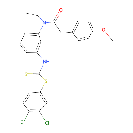 CCN(C(=O)Cc1ccc(OC)cc1)c1cccc(NC(=S)Sc2ccc(Cl)c(Cl)c2)c1